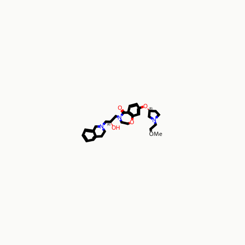 COCCN1CC[C@@H](Oc2ccc3c(c2)OCCN(C[C@H](O)CN2CCc4ccccc4C2)C3=O)C1